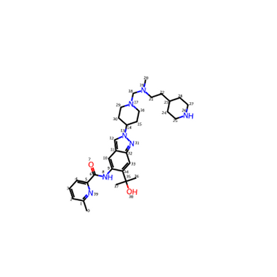 Cc1cccc(C(=O)Nc2cc3cn(C4CCN(CN(C)CCC5CCNCC5)CC4)nc3cc2C(C)(C)O)n1